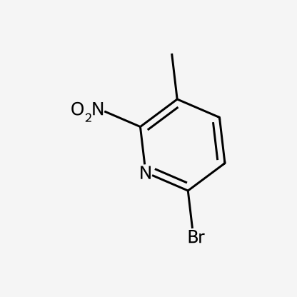 Cc1ccc(Br)nc1[N+](=O)[O-]